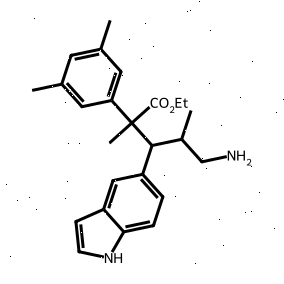 CCOC(=O)C(C)(c1cc(C)cc(C)c1)C(c1ccc2[nH]ccc2c1)C(C)CN